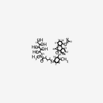 Cc1ccc(SCCCC(=O)N(C)CC(O)C(O)C(O)C(O)CO)cc1COC1(c2cnccc2-c2ccccc2OC2CC2)CC1